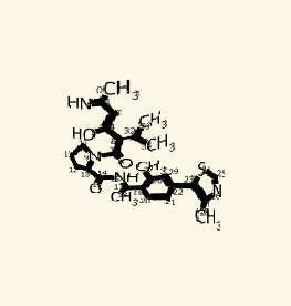 CC(=N)/C=C(\O)[C@H](C(=O)N1CCCC1C(=O)NC(C)c1ccc(-c2scnc2C)cc1C)C(C)C